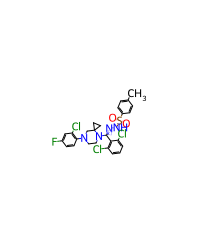 Cc1ccc(S(=O)(=O)N/N=C(\c2c(Cl)cccc2Cl)N2CCN(c3ccc(F)cc3Cl)CC23CC3)cc1